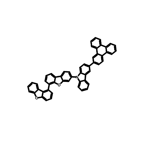 c1ccc2c(c1)oc1cccc(-c3cccc4c3oc3cc(-n5c6ccccc6c6cc(-c7ccc8c9ccccc9c9ccccc9c8c7)ccc65)ccc34)c12